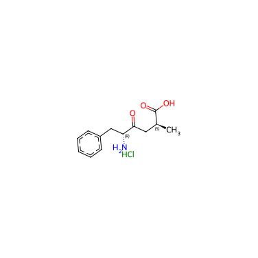 C[C@@H](CC(=O)[C@H](N)Cc1ccccc1)C(=O)O.Cl